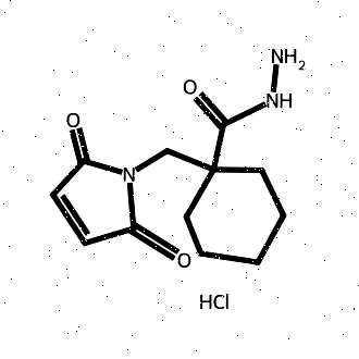 Cl.NNC(=O)C1(CN2C(=O)C=CC2=O)CCCCC1